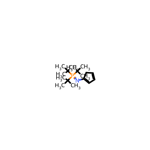 CC(C)(C)P(=NC1=CC=CC1)(C(C)(C)C)C(C)(C)C